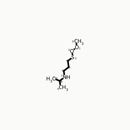 COOSCCCNC(C)C